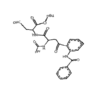 CCCCOC(=O)C(CC=O)NC(=O)C(CC(=O)c1ccccc1NC(=O)c1ccccc1)NC(=O)CCC